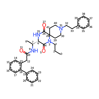 CCCN1C(=O)[C@H](C(C)NC(=O)Cc2ccccc2-c2ccccc2)NC(=O)C12CCN(CCc1ccccc1)CC2